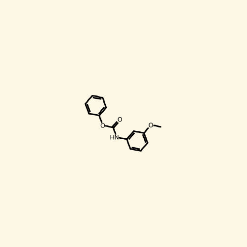 COc1cccc(NC(=O)Oc2ccccc2)c1